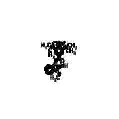 CCn1c(=N)n(CC(=O)c2cc(C(C)(C)C)c(O)c(C(C)(C)C)c2)c2ccccc21